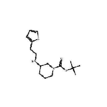 CC(C)(C)OC(=O)N1CCCC(NCCc2cccs2)C1